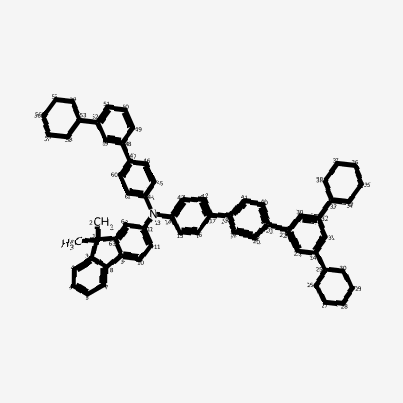 CC1(C)c2ccccc2-c2ccc(N(c3ccc(-c4ccc(-c5cc(C6CCCCC6)cc(C6CCCCC6)c5)cc4)cc3)c3ccc(-c4cccc(C5CCCCC5)c4)cc3)cc21